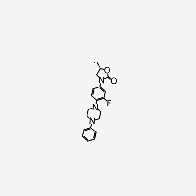 [CH2][C@@H]1CN(c2ccc(N3CCN(c4ccccc4)CC3)c(F)c2)C(=O)O1